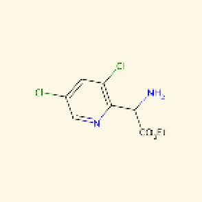 CCOC(=O)C(N)c1ncc(Cl)cc1Cl